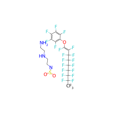 FC(Oc1c(F)c(F)c(F)c(F)c1F)=C(F)C(F)(F)C(F)(F)C(F)(F)C(F)(F)C(F)(F)C(F)(F)C(F)(F)F.NCCNCCN=S(=O)=O